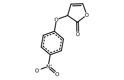 O=C1OC=CC1Oc1ccc([N+](=O)[O-])cc1